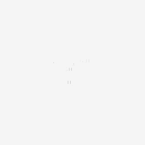 O=[SiH]P.[AlH3].[GaH3]